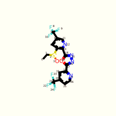 CC[S+]([O-])c1cc(C(F)(F)F)cnc1-c1nnc(-c2cc(C(F)(F)F)ccn2)o1